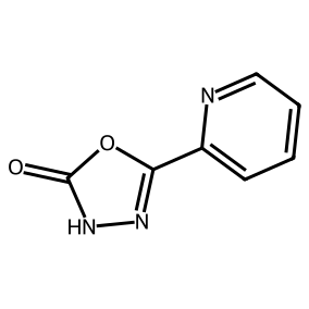 O=c1[nH]nc(-c2ccccn2)o1